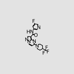 O=C(Nc1cncc(F)c1)c1cnn2ccc(N3CCC(C(F)(F)F)CC3)nc12